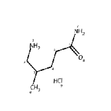 CC(CN)CCC(N)=O.Cl